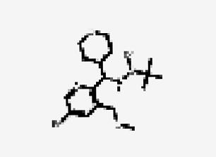 COCc1cc(Br)cnc1[C@H](N[S+]([O-])C(C)(C)C)C1CCOCC1